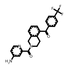 Nc1ccnc(C(=O)N2CCc3c(cccc3C(=O)c3ccc(C(F)(F)F)cc3)C2)c1